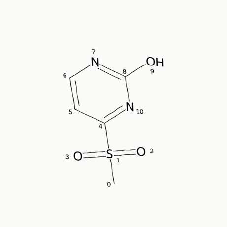 CS(=O)(=O)c1ccnc(O)n1